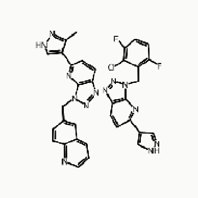 Cc1n[nH]cc1-c1ccc2nnn(Cc3ccc4ncccc4c3)c2n1.Fc1ccc(F)c(Cn2nnc3ccc(-c4cn[nH]c4)nc32)c1Cl